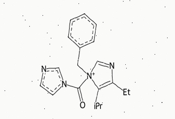 CCC1=C(C(C)C)[N+](Cc2ccccc2)(C(=O)n2ccnc2)C=N1